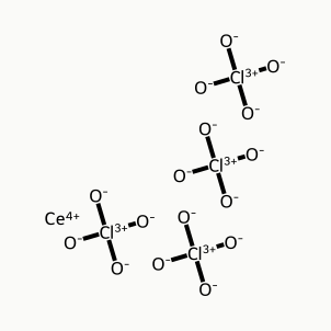 [Ce+4].[O-][Cl+3]([O-])([O-])[O-].[O-][Cl+3]([O-])([O-])[O-].[O-][Cl+3]([O-])([O-])[O-].[O-][Cl+3]([O-])([O-])[O-]